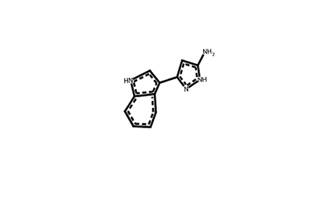 Nc1cc(-c2c[nH]c3ccccc23)n[nH]1